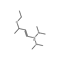 CCOC(C)C=C[SiH](N(C)C)N(C)C